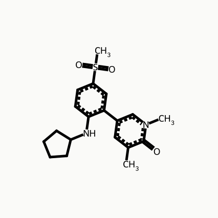 Cc1cc(-c2cc(S(C)(=O)=O)ccc2NC2CCCC2)cn(C)c1=O